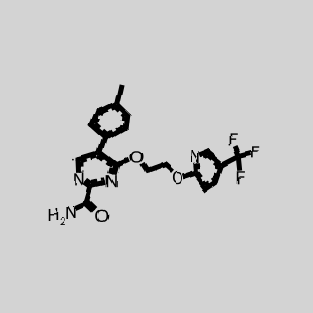 Cc1ccc(-c2[c]nc(C(N)=O)nc2OCCOc2ccc(C(F)(F)F)cn2)cc1